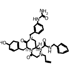 C=CCN1CC(=O)N2[C@@H](CC3=CCC(O)C=C3)C(=O)N(Cc3cccc(NC(N)=O)c3)C[C@@H]2N1C(=O)NCc1ccccc1